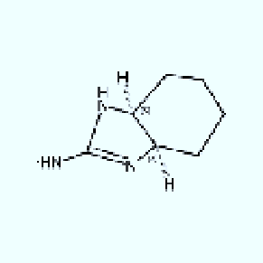 [NH]C1=N[C@@H]2CCCC[C@@H]2N1